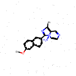 CCOc1ccc2cc(C3=NC(C(C)C)=C4C=NC=C[N+]34N)ccc2c1